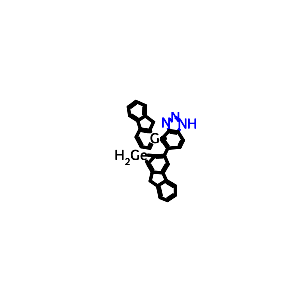 C1=CC2=[C](Cc3ccccc32)[Ge]([c]2c(-c3cc4c([c]5[c]3[GeH2]5)Cc3ccccc3-4)ccc3[nH]nnc23)=[CH]1